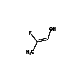 CC(F)=CO